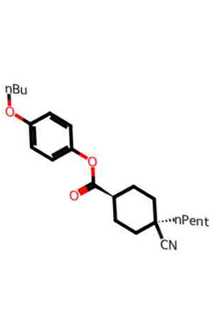 CCCCC[C@]1(C#N)CC[C@@H](C(=O)Oc2ccc(OCCCC)cc2)CC1